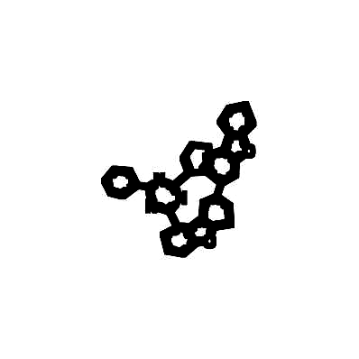 C1=CC(c2nc(-c3ccccc3)nc(-c3cccc4oc5ccc(-c6ccc7c(c6)oc6ccccc67)cc5c34)n2)=CCC1